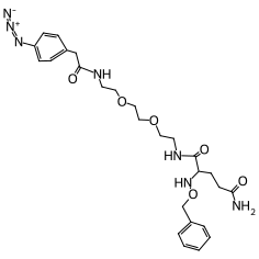 [N-]=[N+]=Nc1ccc(CC(=O)NCCOCCOCCNC(=O)C(CCC(N)=O)NOCc2ccccc2)cc1